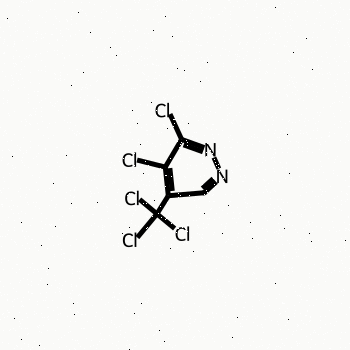 Clc1nncc(C(Cl)(Cl)Cl)c1Cl